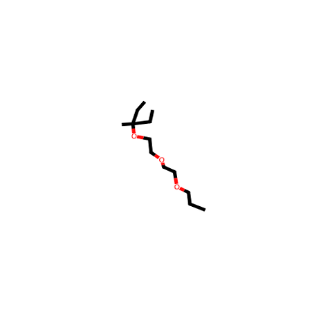 CCCOCCOCCOC(C)(CC)CC